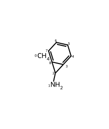 C.NC1c2ccccc21